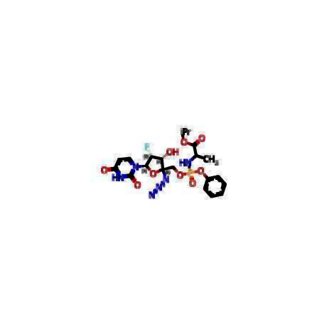 CC(C)OC(=O)C(C)NP(=O)(OC[C@@]1(N=[N+]=[N-])O[C@@H](n2ccc(=O)[nH]c2=O)[C@H](F)[C@@H]1O)Oc1ccccc1